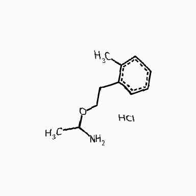 Cc1ccccc1CCOC(C)N.Cl